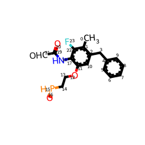 Cc1c(Cc2ccccc2)cc(OCC[PH2]=O)c(NC(=O)C=O)c1F